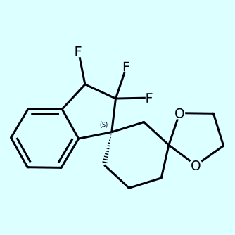 FC1c2ccccc2[C@@]2(CCCC3(C2)OCCO3)C1(F)F